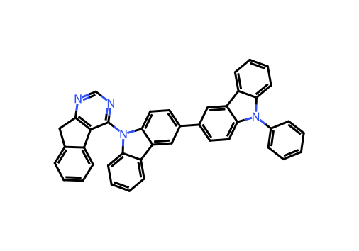 c1ccc(-n2c3ccccc3c3cc(-c4ccc5c(c4)c4ccccc4n5-c4ncnc5c4-c4ccccc4C5)ccc32)cc1